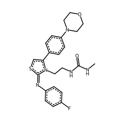 CNC(=O)NCCn1c(-c2ccc(N3CCOCC3)cc2)cs/c1=N/c1ccc(F)cc1